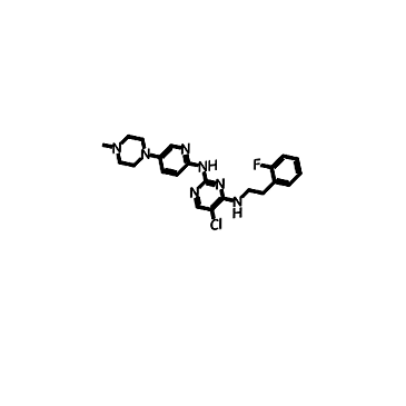 CN1CCN(c2ccc(Nc3ncc(Cl)c(NCCc4ccccc4F)n3)nc2)CC1